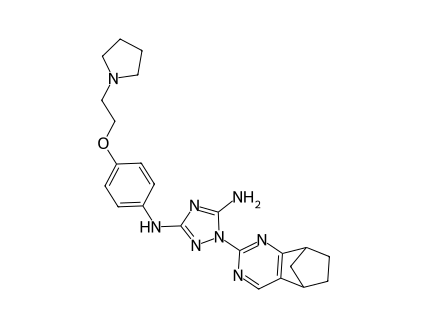 Nc1nc(Nc2ccc(OCCN3CCCC3)cc2)nn1-c1ncc2c(n1)C1CCC2C1